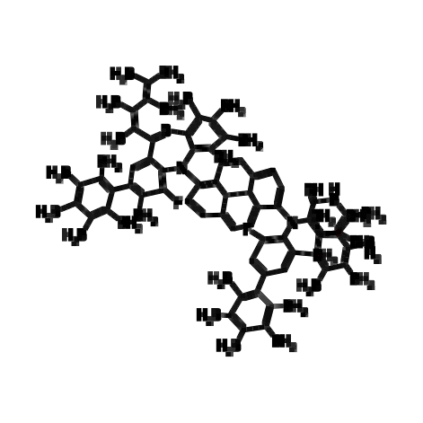 B=C1BC(B)=C(B)C(B)=C1N(C1=CC=C2C=CC3=C(N4c5c(cc(-c6c(B)c(B)c(B)c(B)c6B)c(B)c5F)C(/C(B)=C(/B)C(B)=C(B)B)=Bc5c(B)c(B)c(B)c(B)c54)C=CC4=CC=C1C2C43)c1c(F)cc(-c2c(B)c(B)c(B)c(B)c2B)cc1-c1c(B)c(B)c(B)c(B)c1B